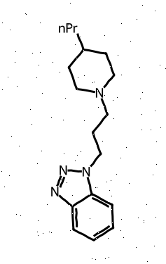 CCCC1CCN(CCCn2nnc3ccccc32)CC1